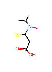 CC(C)N(I)C(S)CC(=O)O